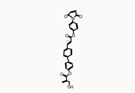 C=C(CO)C(=O)Oc1ccc(-c2ccc(/C=C/C(=O)Oc3ccc(N4C(=O)C=CC4=O)cc3)cc2)cc1